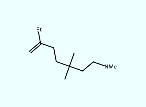 C=C(CC)CCC(C)(C)CCNC